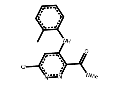 CNC(=O)c1nnc(Cl)cc1Nc1ccccc1C